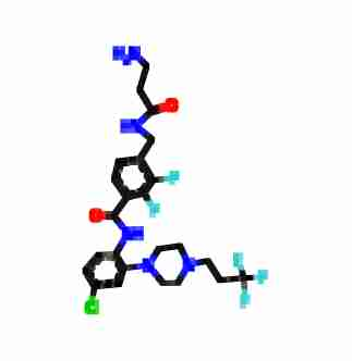 NCCC(=O)NCc1ccc(C(=O)Nc2ccc(Cl)cc2N2CCN(CCC(F)(F)F)CC2)c(F)c1F